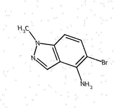 Cn1ncc2c(N)c(Br)ccc21